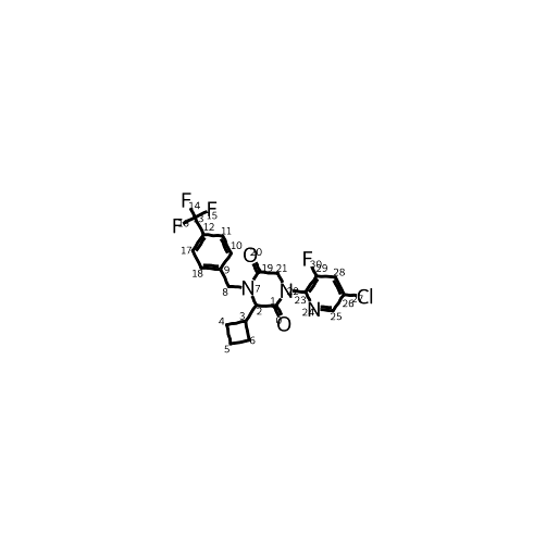 O=C1C(C2CCC2)N(Cc2ccc(C(F)(F)F)cc2)C(=O)CN1c1ncc(Cl)cc1F